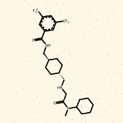 CN(C(=O)CNC[C@H]1CC[C@H](CNC(=O)c2cc(C(F)(F)F)cc(C(F)(F)F)c2)CC1)C1CCCCC1